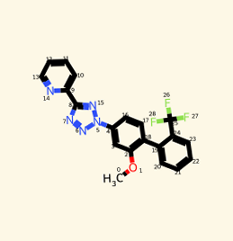 COc1cc(-n2nnc(-c3ccccn3)n2)ccc1-c1ccccc1C(F)(F)F